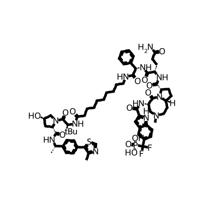 Cc1ncsc1-c1ccc([C@H](C)NC(=O)[C@@H]2C[C@@H](O)CN2C(=O)[C@@H](NC(=O)CCCCCCCCCNC(=O)[C@@H](NC(=O)[C@H](CCC(N)=O)NC(=O)[C@@H]2CC[C@@H]3CCN(C)C[C@H](NC(=O)c4cc5cc(C(F)(F)P(=O)(O)O)ccc5[nH]4)C(=O)N32)c2ccccc2)C(C)(C)C)cc1